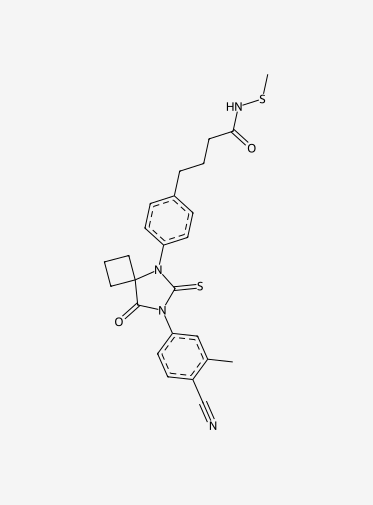 CSNC(=O)CCCc1ccc(N2C(=S)N(c3ccc(C#N)c(C)c3)C(=O)C23CCC3)cc1